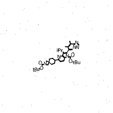 Cc1c(-c2c(C(C)C)c3nc(C4CCC5(CC4)CN(C(=O)OC(C)(C)C)C5)ccc3n2C(=O)OC(C)(C)C)cn2ncnc2c1C